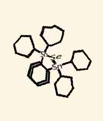 C1CC[CH]([Sn]([Se][Sn]([CH]2CCCCC2)([CH]2CCCCC2)[CH]2CCCCC2)([CH]2CCCCC2)[CH]2CCCCC2)CC1